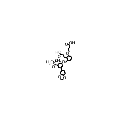 CN(C)C(=O)c1cc(OCc2cccc(OCCCC(=O)O)c2CCC(=O)O)cc(-c2ccc3c(c2)OCCO3)c1